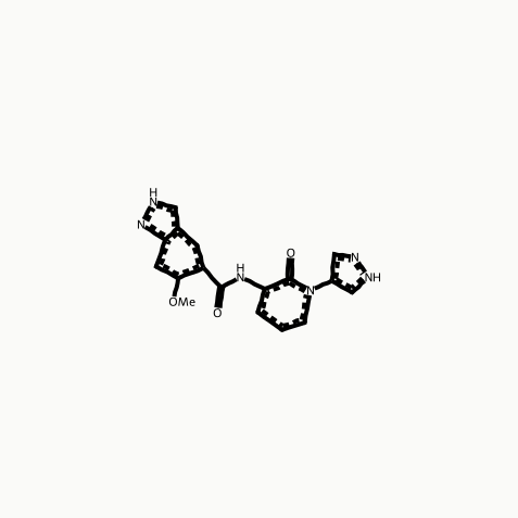 COc1cc2n[nH]cc2cc1C(=O)Nc1cccn(-c2cn[nH]c2)c1=O